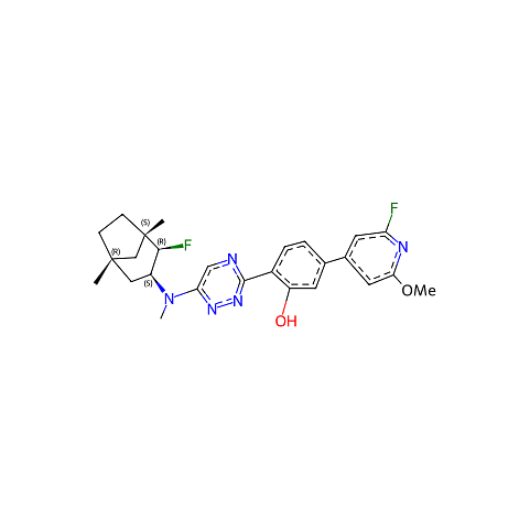 COc1cc(-c2ccc(-c3ncc(N(C)[C@H]4C[C@]5(C)CC[C@@](C)(C5)[C@H]4F)nn3)c(O)c2)cc(F)n1